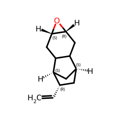 C=C[C@H]1C[C@H]2C[C@@H]1C1C[C@@H]3O[C@@H]3CC12